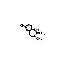 C=C1Nc2ccc(Cl)cc2CCN1C